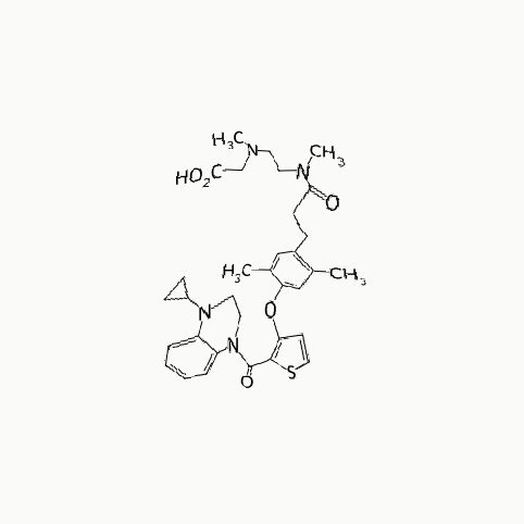 Cc1cc(Oc2ccsc2C(=O)N2CCN(C3CC3)c3ccccc32)c(C)cc1CCC(=O)N(C)CCN(C)CC(=O)O